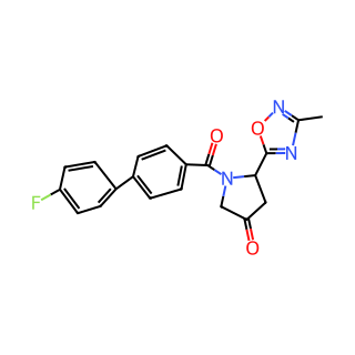 Cc1noc(C2CC(=O)CN2C(=O)c2ccc(-c3ccc(F)cc3)cc2)n1